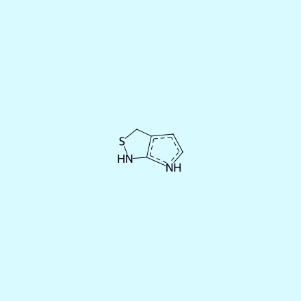 c1cc2c([nH]1)NSC2